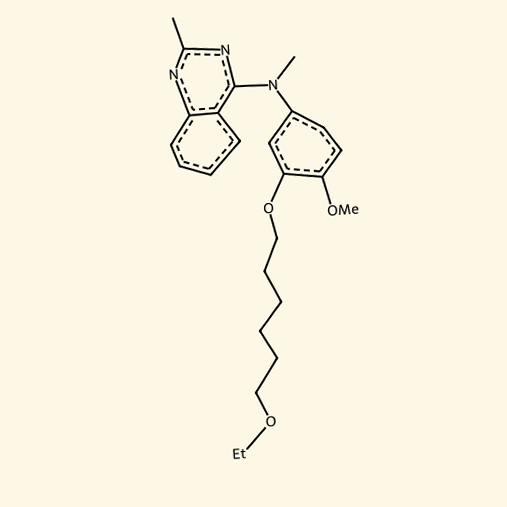 CCOCCCCCCOc1cc(N(C)c2nc(C)nc3ccccc23)ccc1OC